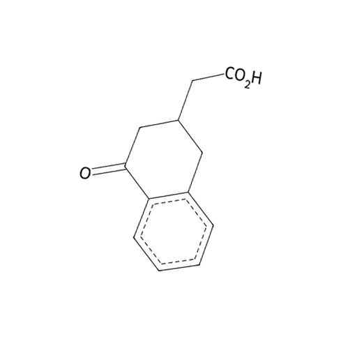 O=C(O)CC1CC(=O)c2ccccc2C1